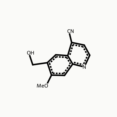 COc1cc2nccc(C#N)c2cc1CO